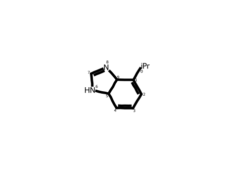 CC(C)C1=CC=CC2NC=NC12